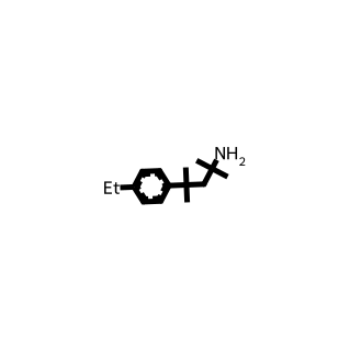 CCc1ccc(C(C)(C)CC(C)(C)N)cc1